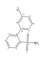 NS(=O)(=O)c1ccccc1-c1cccc(Cl)c1